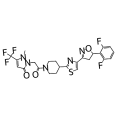 Cn1c(C(F)(F)F)cc(=O)n1CC(=O)N1CCC(c2nc(C3=NOC(c4c(F)cccc4F)C3)cs2)CC1